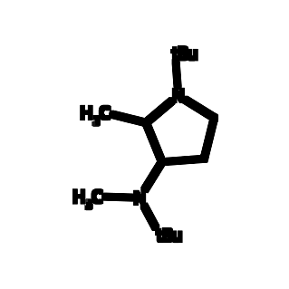 CC1C(N(C)C(C)(C)C)CCN1C(C)(C)C